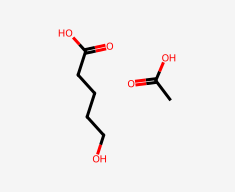 CC(=O)O.O=C(O)CCCCO